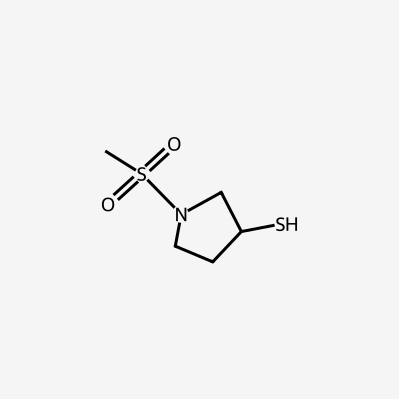 CS(=O)(=O)N1CCC(S)C1